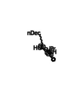 CCCCCCCCCCCCCCCCCC(=O)OC(CO)COC(=O)[C@@H](NC(=O)OCc1ccccc1)C(C)C